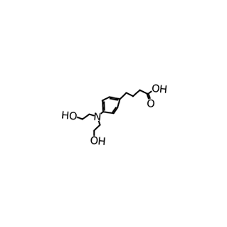 O=C(O)CCCc1ccc(N(CCO)CCO)cc1